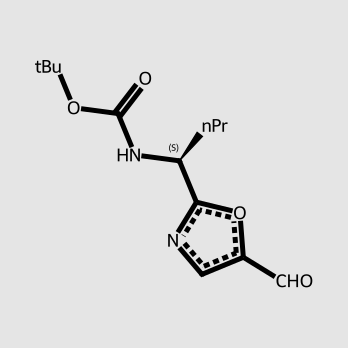 CCC[C@H](NC(=O)OC(C)(C)C)c1ncc(C=O)o1